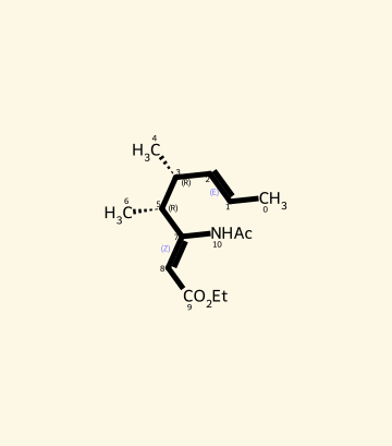 C/C=C/[C@@H](C)[C@@H](C)/C(=C/C(=O)OCC)NC(C)=O